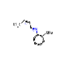 CC(C)(C)c1ccccc1/N=C/C=C\C(Cl)(Cl)Cl